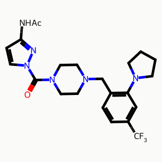 CC(=O)Nc1ccn(C(=O)N2CCN(Cc3ccc(C(F)(F)F)cc3N3CCCC3)CC2)n1